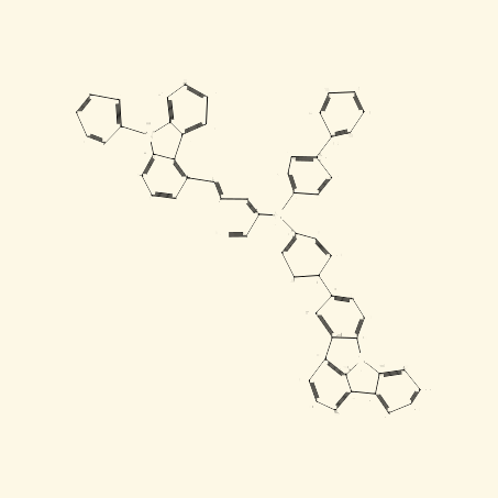 C=C/C(=C\C=C\c1cccc2c1c1ccccc1n2-c1ccccc1)N(C1=CCC(c2ccc3c(c2)c2cccc4c5ccccc5n3c42)C=C1)c1ccc(-c2ccccc2)cc1